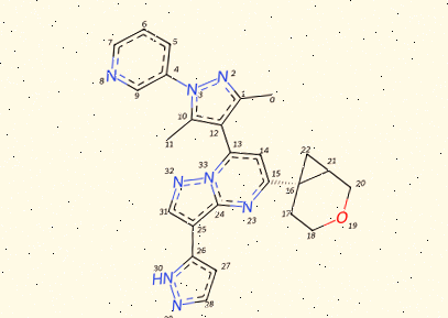 Cc1nn(-c2cccnc2)c(C)c1-c1cc([C@@]23CCOCC2C3)nc2c(-c3ccn[nH]3)cnn12